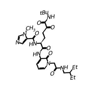 CCC(CC)CNC(=O)Cn1cccc(NC(=O)[C@H](CCC(=O)C(=O)NC(C)(C)C)NC(=O)c2cncn2C)c1=O